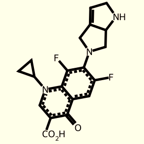 O=C(O)c1cn(C2CC2)c2c(F)c(N3CC4=CCNC4C3)c(F)cc2c1=O